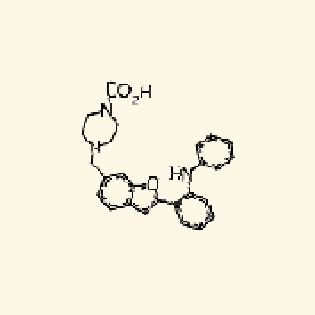 O=C(O)N1CCN(Cc2ccc3cc(-c4ccccc4Nc4ccccc4)oc3c2)CC1